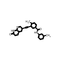 Cc1cccc(NC(=O)c2ccc(C)c(C#Cc3cnc4[nH]c(=O)ccc4c3)c2)c1